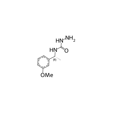 COc1cccc([C@@H](C)NC(=O)NN)c1